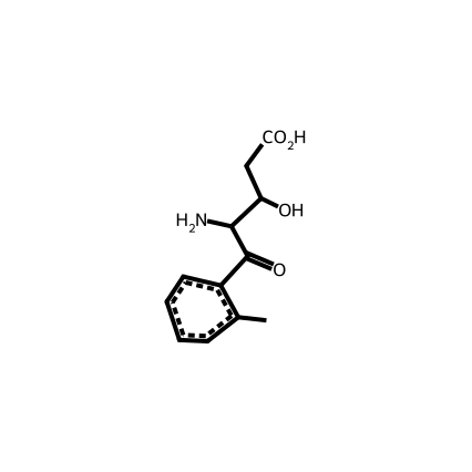 Cc1ccccc1C(=O)C(N)C(O)CC(=O)O